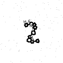 C[C@H]1Cc2ccc3ccc(C4=CC=CC(c5ccc6c(n5)-c5nc(-c7ccccc7)ccc5C=CC6)=CC4)nc3c2N=C1c1ccccc1